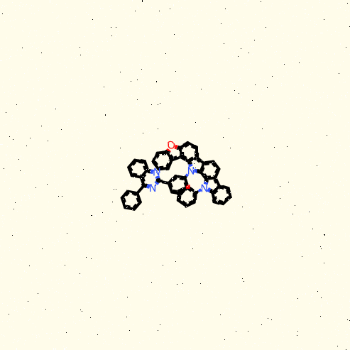 c1ccc(-c2nc(-c3cccc(-n4c5c(ccc6oc7ccccc7c65)c5ccc6c7ccccc7n(-c7ccccc7)c6c54)c3)nc3ccccc23)cc1